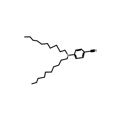 CCCCCCCCCCN(CCCCCCCCCC)c1ccc(C#N)cc1